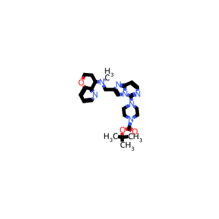 CN(Cc1cn2c(N3CCN(C(=O)OC(C)(C)C)CC3)nccc2n1)C1CCOc2cccnc21